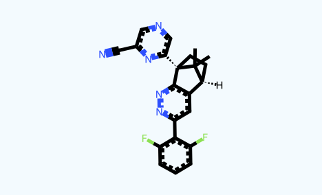 CC1(C)[C@H]2CC[C@]1(c1cncc(C#N)n1)c1nnc(-c3c(F)cccc3F)cc12